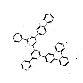 c1ccc(-c2nc(-c3cc(-c4cccnc4)cc(-c4ccc5c6ccccc6c6ccccc6c5c4)c3)cc(-c3ccc4c(c3)oc3ccccc34)n2)cc1